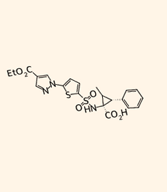 CCOC(=O)c1cnn(-c2ccc(S(=O)(=O)N[C@@]3(C(=O)O)C(C)[C@@H]3c3ccccc3)s2)c1